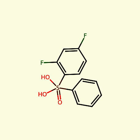 O=S(O)(O)(c1ccccc1)c1ccc(F)cc1F